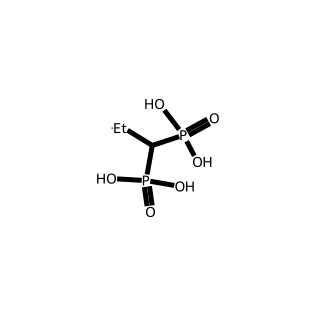 C[CH]C(P(=O)(O)O)P(=O)(O)O